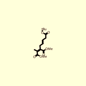 COC(=O)C(C)=C(CC=CCC(=O)OC(C)(C)C)C(=O)OC